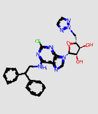 O[C@@H]1[C@H](O)[C@@H](Cn2nccn2)O[C@H]1n1cnc2c(NCC(c3ccccc3)c3ccccc3)nc(Cl)nc21